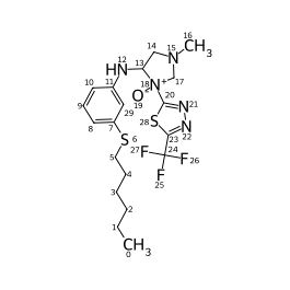 CCCCCCSc1cccc(NC2CN(C)C[N+]2([O-])c2nnc(C(F)(F)F)s2)c1